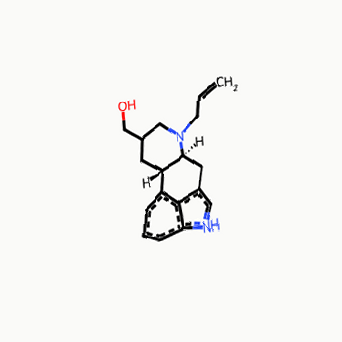 C=CCN1CC(CO)C[C@H]2c3cccc4[nH]cc(c34)C[C@@H]21